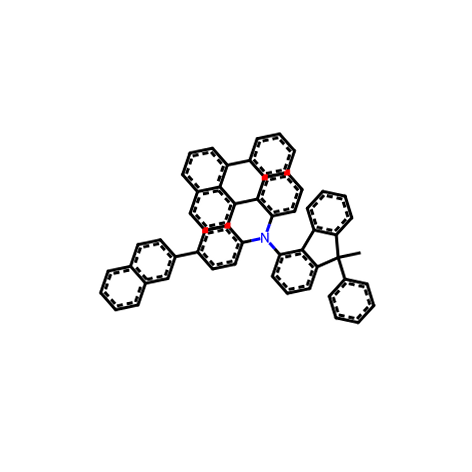 CC1(c2ccccc2)c2ccccc2-c2c(N(c3ccc(-c4ccc5ccccc5c4)cc3)c3ccccc3-c3cccc4cccc(-c5ccccc5)c34)cccc21